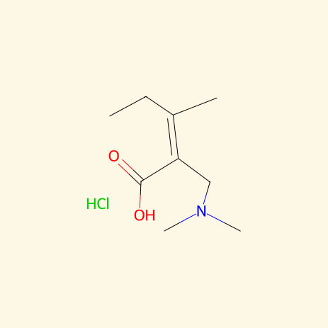 CCC(C)=C(CN(C)C)C(=O)O.Cl